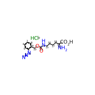 Cl.[N-]=[N+]=Nc1ccccc1COC(=O)NCCCCC(N)C(=O)O